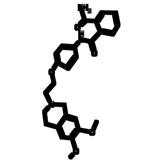 COc1cc2c(cc1OC)CN(CCOc1ccc(NC(=O)c3ccccc3C(N)=O)cc1)CC2